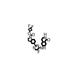 O=C(OC1CC(F)(F)C1)N1CCc2cc(-c3ncc(F)c(Nc4ccc5c(=O)[nH]ccc5c4)n3)ccc21